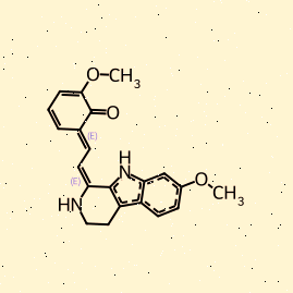 COC1=CC=C/C(=C\C=C2\NCCc3c2[nH]c2cc(OC)ccc32)C1=O